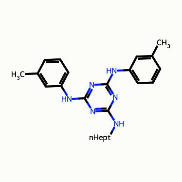 CCCCCCCNc1nc(Nc2cccc(C)c2)nc(Nc2cccc(C)c2)n1